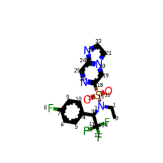 CCN(C(c1ccc(F)cc1)C(F)(F)F)S(=O)(=O)c1cn2ccnc2cn1